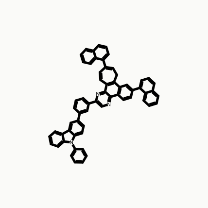 C1=Cc2c(c3cc(-c4cccc5ccccc45)ccc3c3ncc(-c4cccc(-c5ccc6c(c5)c5ccccc5n6-c5ccccc5)c4)nc23)CC=C1c1cccc2ccccc12